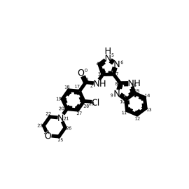 O=C(Nc1c[nH]nc1-c1nc2ccccc2[nH]1)c1ccc(N2CCOCC2)cc1Cl